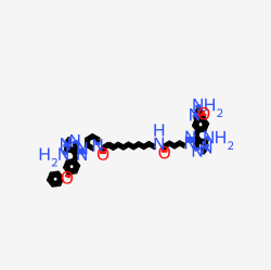 Nc1nc2cc(-c3nn(CCCCC(=O)NCCCCCCCC/C=C/C(=O)N4CCC[C@@H](n5nc(-c6ccc(Oc7ccccc7)cc6)c6c(N)ncnc65)C4)c4ncnc(N)c34)ccc2o1